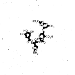 Cc1cc(SCC2=C(C(=O)O)N3C(=O)[C@@H](NC(=O)/C(=N\OC(=O)c4cc(O)c(O)c(O)c4)c4csc(N)n4)[C@H]3SC2)n2nc(C(=O)O)nc2n1